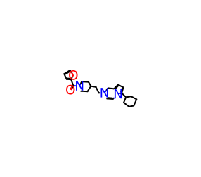 O=C(c1ccco1)N1CCC(CCN2C=Cn3c(ccc3C3CCCCC3)C2)CC1